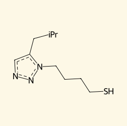 CC(C)Cc1cnnn1CCCCS